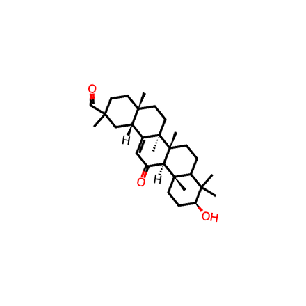 CC1(C=O)CC[C@]2(C)CC[C@]3(C)C(=CC(=O)[C@@H]4[C@@]5(C)CC[C@H](O)C(C)(C)C5CC[C@]43C)[C@@H]2C1